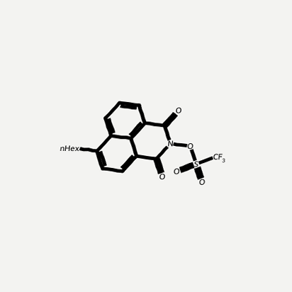 CCCCCCc1ccc2c3c(cccc13)C(=O)N(OS(=O)(=O)C(F)(F)F)C2=O